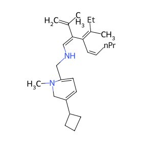 C=C(C)C(=C/NCC1=CC=C(C2CCC2)CN1C)/C(/C=C\CCC)=C(/C)CC